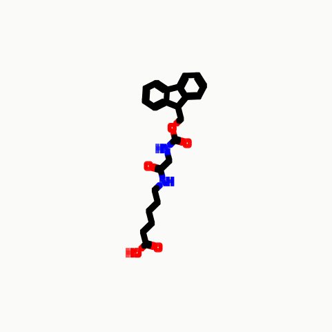 O=C(O)CCCCCNC(=O)CNC(=O)OCC1c2ccccc2-c2ccccc21